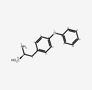 N[C@@H](Cc1ccc(Oc2ccccc2)cc1)C(=O)O